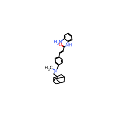 CN(Cc1ccc(/C=C/C(=O)Nc2ccccc2N)cc1)CC12CC3CC(CC(C3)C1)C2